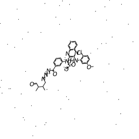 COc1ccc(Cl)c(Nc2nc3ccccc3nc2N(c2cccc(C(=O)N=[N+]=NCC(C)C(C)C=O)c2)[SH](=O)=O)c1